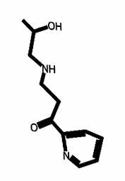 CC(O)CNCCC(=O)c1ccccn1